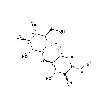 OC[C@H]1O[C@H](O[C@@H]2[C@@H](O)[C@H](O)[C@@H](CO)O[C@H]2O)[C@H](O)[C@@H](O)[C@@H]1O